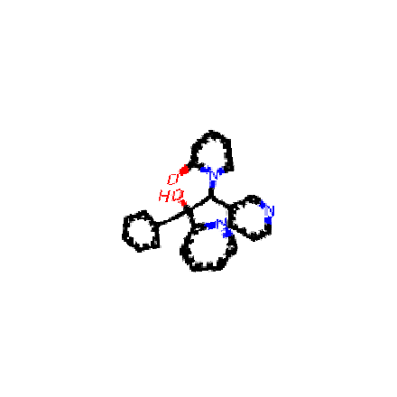 O=c1ccccn1C(c1cccnc1)C(O)(c1ccccc1)c1ccccn1